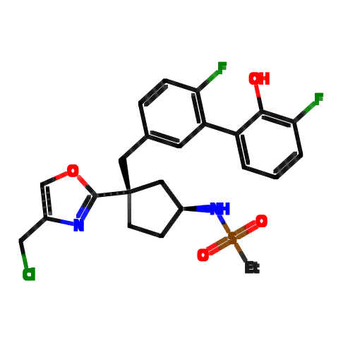 CCS(=O)(=O)N[C@H]1CC[C@](Cc2ccc(F)c(-c3cccc(F)c3O)c2)(c2nc(CCl)co2)C1